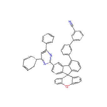 N#Cc1cccc(-c2cccc(-c3cccc4c3-c3cc(-c5nc(-c6ccccc6)cc(C6C=CC=CC6)n5)ccc3C43c4ccccc4Oc4ccccc43)c2)c1